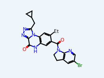 CCc1cc2c(cc1C(=O)N1CCc3cc(Br)cnc31)[nH]c(=O)c1nnc(CC3CC3)n12